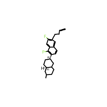 C=CCCc1cc2ccc([C@@H]3CC[C@@H]4CC(C)CCC4C3)c(F)c2cc1F